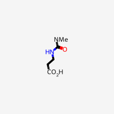 CNC(=O)NCCC(=O)O